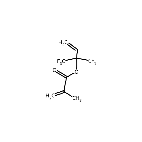 C=CC(OC(=O)C(=C)C)(C(F)(F)F)C(F)(F)F